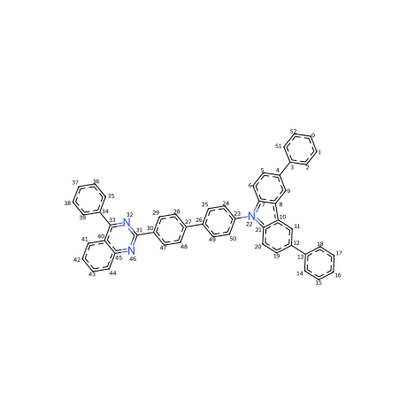 c1ccc(-c2ccc3c(c2)c2cc(-c4ccccc4)ccc2n3-c2ccc(-c3ccc(-c4nc(-c5ccccc5)c5ccccc5n4)cc3)cc2)cc1